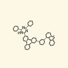 c1ccc(C2=NC(c3ccccc3)NC(c3ccc4c5ccccc5c5cc(-c6cccc(-c7cccc8sc9ccccc9c78)c6)ccc5c4c3)=N2)cc1